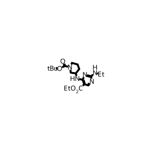 CCNc1ncc(C(=O)OCC)c(NC2CCCN(C(=O)OC(C)(C)C)C2)n1